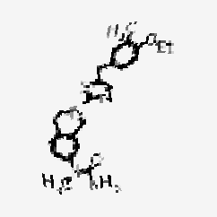 CCOc1ccc(Cc2cnc(N3CCc4ccc(N(C)C(N)=O)cc4C3)s2)cc1C